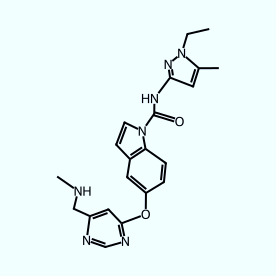 CCn1nc(NC(=O)n2ccc3cc(Oc4cc(CNC)ncn4)ccc32)cc1C